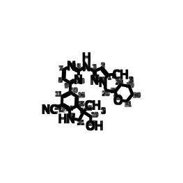 Cc1cc(Nc2nccc(-c3cc(C#N)c4c(c3)C(C)(CO)CN4)n2)nn1CC1CCCCO1